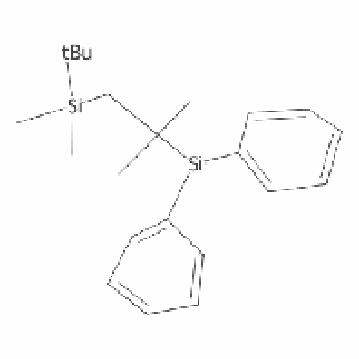 CC(C)(C[Si](C)(C)C(C)(C)C)[Si](c1ccccc1)c1ccccc1